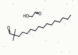 CCCCCCCCCCCCCCC(C)(C)C=O.O=CCO